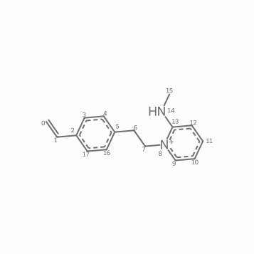 C=Cc1ccc(CC[n+]2ccccc2NC)cc1